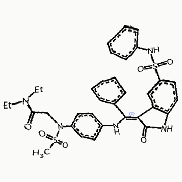 CCN(CC)C(=O)CN(c1ccc(N/C(=C2\C(=O)Nc3ccc(S(=O)(=O)Nc4ccccc4)cc32)c2ccccc2)cc1)S(C)(=O)=O